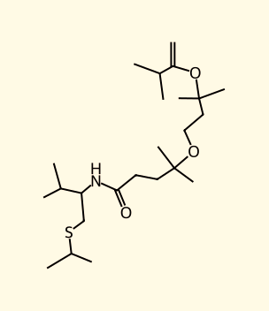 C=C(OC(C)(C)CCOC(C)(C)CCC(=O)NC(CSC(C)C)C(C)C)C(C)C